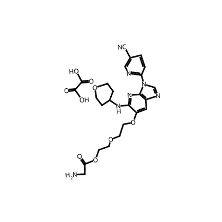 N#Cc1ccc(-n2cnc3cc(OCCOCCOC(=O)CN)c(NC4CCOCC4)nc32)nc1.O=C(O)C(=O)O